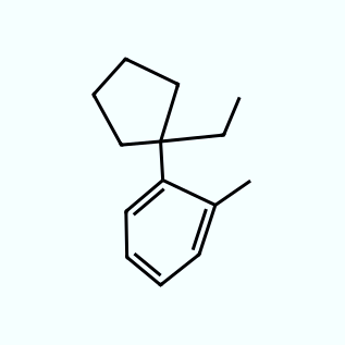 CCC1(c2ccccc2C)CCCC1